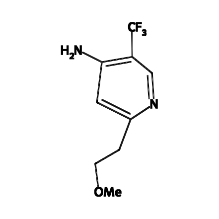 COCCc1cc(N)c(C(F)(F)F)cn1